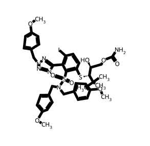 COc1ccc(CN(Cc2ccc(OC)cc2)S(=O)(=O)c2c(S[C@H]([C@@H](O)COC(N)=O)C(C)(C)C)ccc(I)c2-c2nnn(Cc3ccc(OC)cc3)n2)cc1